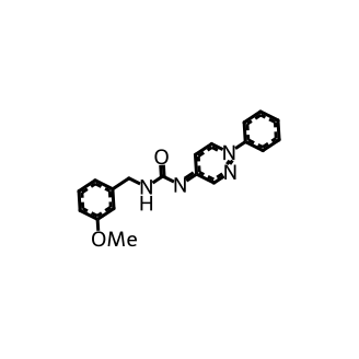 COc1cccc(CNC(=O)/N=c2\ccn(-c3ccccc3)nc2)c1